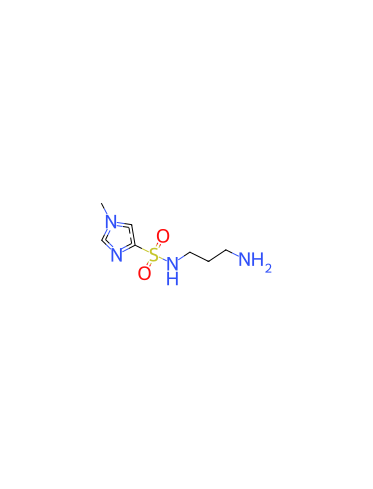 Cn1cnc(S(=O)(=O)NCCCN)c1